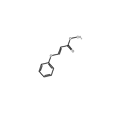 COC(=O)C=COc1ccccc1